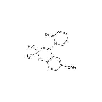 COc1ccc2c(c1)C(n1ccccc1=O)=CC(C)(C)O2